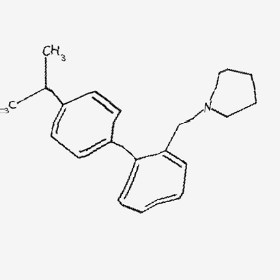 CC(C)c1ccc(-c2ccccc2CN2CCCC2)cc1